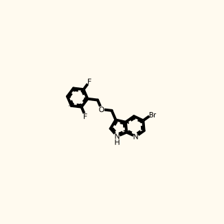 Fc1[c]ccc(F)c1COCc1c[nH]c2ncc(Br)cc12